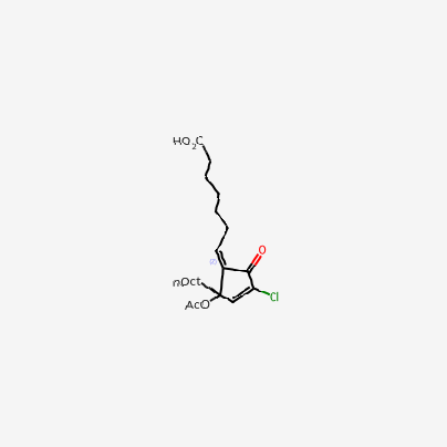 CCCCCCCCC1(OC(C)=O)C=C(Cl)C(=O)/C1=C\CCCCCC(=O)O